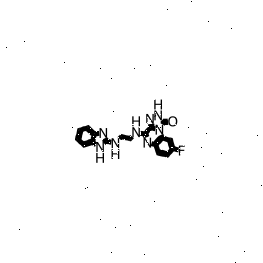 O=c1[nH]nc2c(NCCNc3nc4ccccc4[nH]3)nc3ccc(F)cc3n12